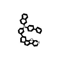 c1ccc(-c2ccc(N(c3cccc(-c4ccc5ccc6c7ccncc7oc6c5c4)c3)c3ccc4ccccc4c3)cc2)cc1